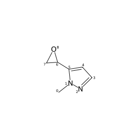 Cn1nccc1C1CO1